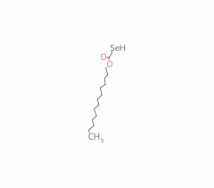 CCCCCCCCCCCCCCOC(=O)C[SeH]